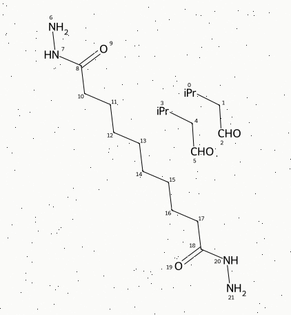 CC(C)CC=O.CC(C)CC=O.NNC(=O)CCCCCCCCC(=O)NN